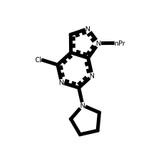 CCCn1ncc2c(Cl)nc(N3CCCC3)nc21